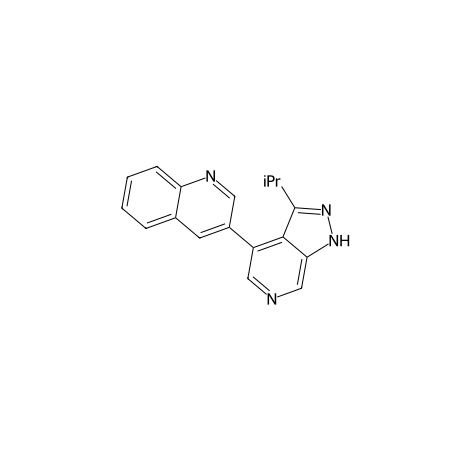 CC(C)c1n[nH]c2cncc(-c3cnc4ccccc4c3)c12